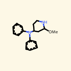 COC1CC(N(c2ccccc2)c2ccccc2)CCN1